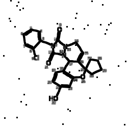 O=c1n(-c2ccccc2Cl)c(=O)n2n1CC=C1C2c2ccc(O)cc2OC12CCCC2